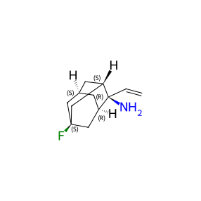 C=C[C@]1(N)[C@@H]2C[C@@H]3C[C@H]1C[C@@](F)(C3)C2